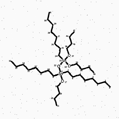 CCCCCCC[CH2][Sn]([CH2]CCCCCCC)([O]CCCC)[O][Sn]([CH2]CCCCCCC)([O]CCCC)[O]CCCC